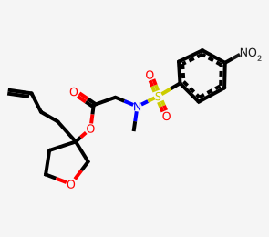 C=CCCC1(OC(=O)CN(C)S(=O)(=O)c2ccc([N+](=O)[O-])cc2)CCOC1